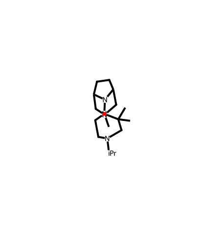 CC(C)N1CCN(N2C3CCC2CN(C)C3)C(C)(C)C1